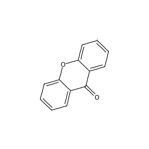 O=c1c2cc[c]cc2oc2ccccc12